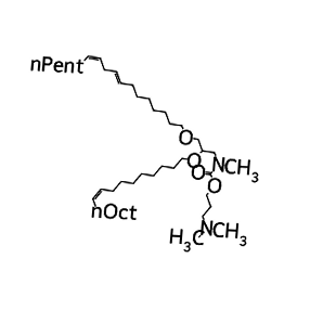 CCCCC/C=C\C/C=C/CCCCCCCOCC(CN(C)C(=O)OCCCN(C)C)OCCCCCCCC/C=C\CCCCCCCC